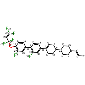 C/C=C/C1CCC(C2CC=C(c3ccc(-c4ccc(OC(F)(F)C=C(F)F)c(F)c4)c(F)c3)CC2)CC1